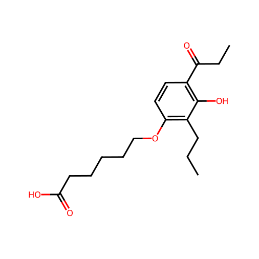 CCCc1c(OCCCCCC(=O)O)ccc(C(=O)CC)c1O